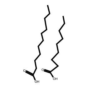 CCCCCCCCC(=O)O.CCCCCCCCCCC(=O)O